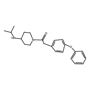 CC(C)NC1CCN(C(=O)Cc2ccc(Oc3ccccc3)cc2)CC1